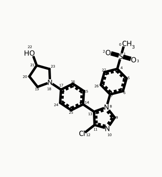 CS(=O)(=O)c1ccc(-n2cnc(Cl)c2-c2ccc(N3CCC(O)C3)cc2)cc1